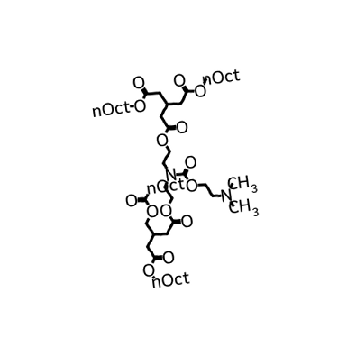 CCCCCCCCOC(=O)CC(COC(=O)CCCCCCCC)CC(=O)OCCN(CCOC(=O)CC(CC(=O)OCCCCCCCC)CC(=O)OCCCCCCCC)C(=O)OCCN(C)C